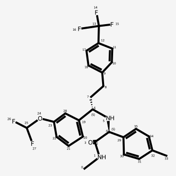 CNC(=O)[C@@H](N[C@@H](CCc1ccc(C(F)(F)F)cc1)c1cccc(OC(F)F)c1)c1ccc(C)cc1